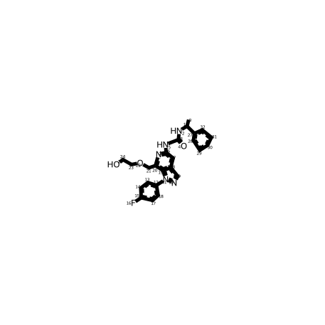 CC(NC(=O)Nc1cc2cnn(-c3ccc(F)cc3)c2c(COCCO)n1)c1ccccc1